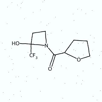 O=C([C]1CCCO1)N1CCC1(O)C(F)(F)F